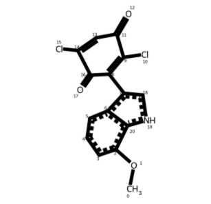 COc1cccc2c(C3=C(Cl)C(=O)C=C(Cl)C3=O)c[nH]c12